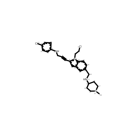 ClCCn1c(C#CCNc2ccc(Cl)cc2)cc2cc(CNC3CCN(I)CC3)ccc21